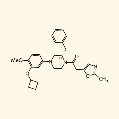 COc1ccc(N2CCN(C(=O)Cc3cnc(C)o3)[C@@H](Cc3ccccc3)C2)cc1OC1CCC1